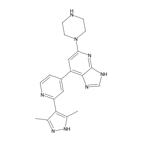 Cc1n[nH]c(C)c1-c1cc(-c2cc(N3CCNCC3)nc3[nH][c]nc23)ccn1